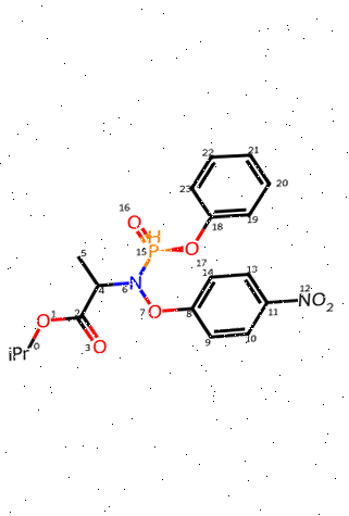 CC(C)OC(=O)C(C)N(Oc1ccc([N+](=O)[O-])cc1)[P@@H](=O)Oc1ccccc1